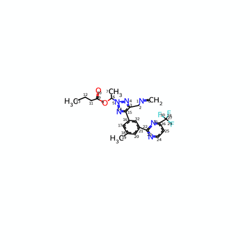 C=NCc1nn(C(C)OC(=O)CCC)nc1-c1cc(C)cc(-c2nccc(C(F)(F)F)n2)c1